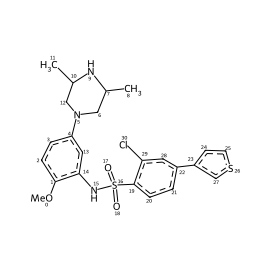 COc1ccc(N2CC(C)NC(C)C2)cc1NS(=O)(=O)c1ccc(-c2ccsc2)cc1Cl